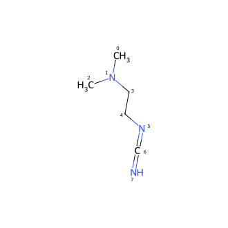 CN(C)CCN=C=N